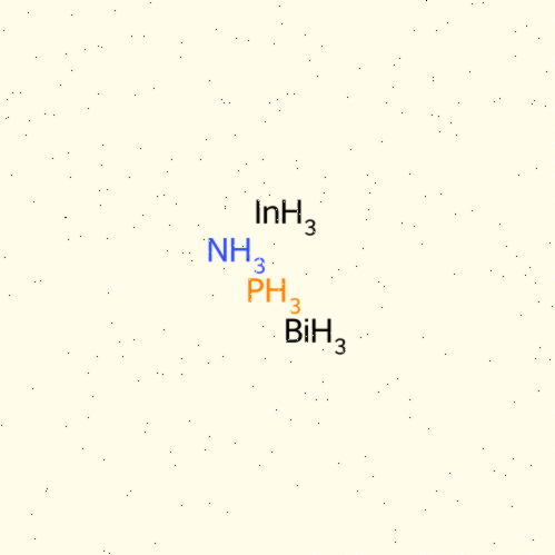 N.P.[BiH3].[InH3]